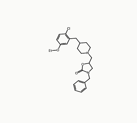 CCOc1ccc(Cl)c(CC2CCN(CC3CN(Cc4ccccc4)C(=O)O3)CC2)c1